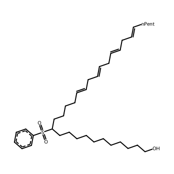 CCCCCC=CCC=CCC=CCC=CCCCCC(CCCCCCCCCCCO)S(=O)(=O)c1ccccc1